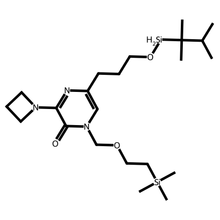 CC(C)C(C)(C)[SiH2]OCCCc1cn(COCC[Si](C)(C)C)c(=O)c(N2CCC2)n1